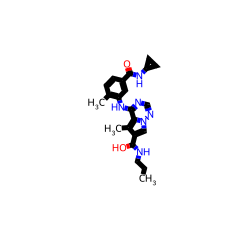 CCCNC(O)c1cn2ncnc(Nc3cc(C(=O)NC4CC4)ccc3C)c2c1C